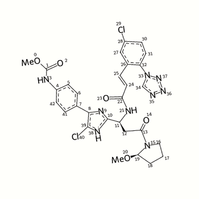 COC(=O)Nc1ccc(-c2nc([C@H](CC(=O)N3CCC[C@H]3OC)NC(=O)/C=C/c3cc(Cl)ccc3-n3cnnn3)[nH]c2Cl)cc1